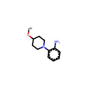 CCCOC1CCN(c2ccccc2N)CC1